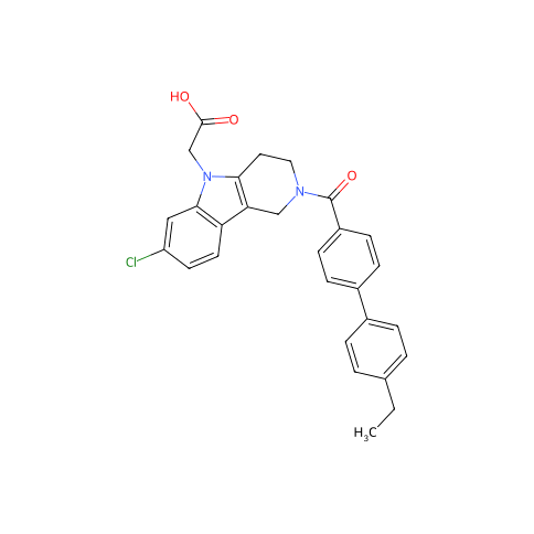 CCc1ccc(-c2ccc(C(=O)N3CCc4c(c5ccc(Cl)cc5n4CC(=O)O)C3)cc2)cc1